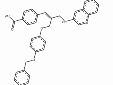 O=C(O)c1ccc(C=C(CNc2cnc3ccccc3c2)COc2ccc(OCc3ccccc3)cc2)cc1